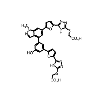 Cn1ncc2c(-c3cc(O)cc(-c4ccc(-c5nnc(SCC(=O)O)[nH]5)o4)c3)cc(-c3ccc(-c4nnc(SCC(=O)O)[nH]4)o3)cc21